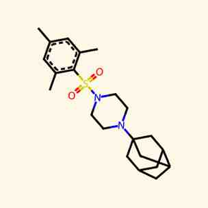 Cc1cc(C)c(S(=O)(=O)N2CCN(C34CC5CC(C3)C(C5)C4)CC2)c(C)c1